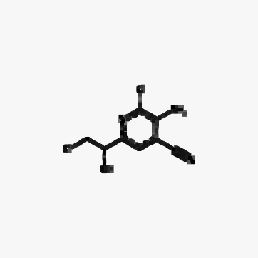 N#Cc1cc(C(O)CCl)nc(Cl)c1N